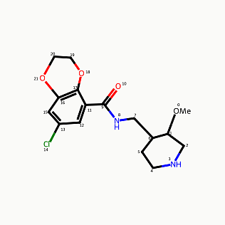 COC1CNCCC1CNC(=O)c1cc(Cl)cc2c1OCCO2